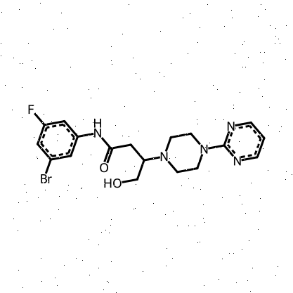 O=C(CC(CO)N1CCN(c2ncccn2)CC1)Nc1cc(F)cc(Br)c1